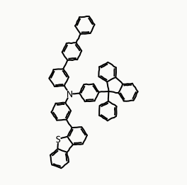 c1ccc(-c2ccc(-c3cccc(N(c4ccc(C5(c6ccccc6)c6ccccc6-c6ccccc65)cc4)c4cccc(-c5cccc6c5sc5ccccc56)c4)c3)cc2)cc1